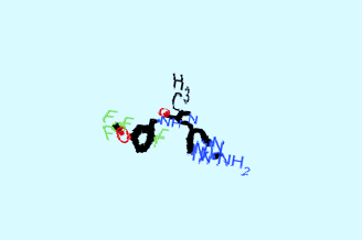 Cc1cnc(-c2ccn3nc(N)nc3c2)cc1C(=O)NCc1cc(OC(F)(F)F)ccc1F